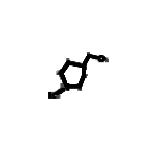 CCN1CCC(C[O])CC1